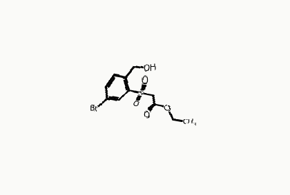 CCOC(=O)CS(=O)(=O)c1cc(Br)ccc1CO